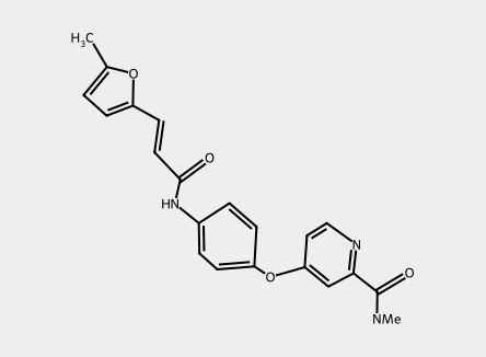 CNC(=O)c1cc(Oc2ccc(NC(=O)C=Cc3ccc(C)o3)cc2)ccn1